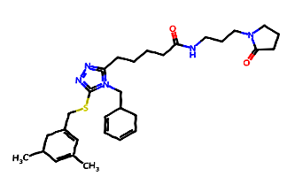 CC1=CC(C)CC(CSc2nnc(CCCCC(=O)NCCCN3CCCC3=O)n2CC2C=CC=CC2)=C1